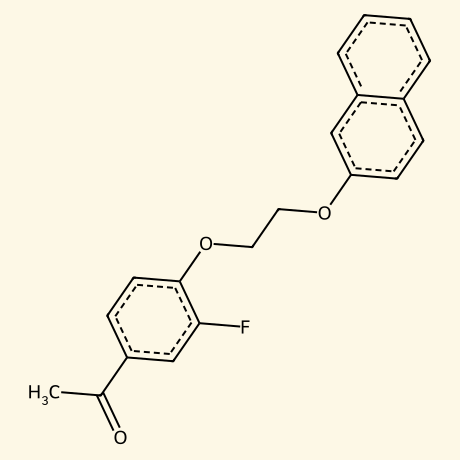 CC(=O)c1ccc(OCCOc2ccc3ccccc3c2)c(F)c1